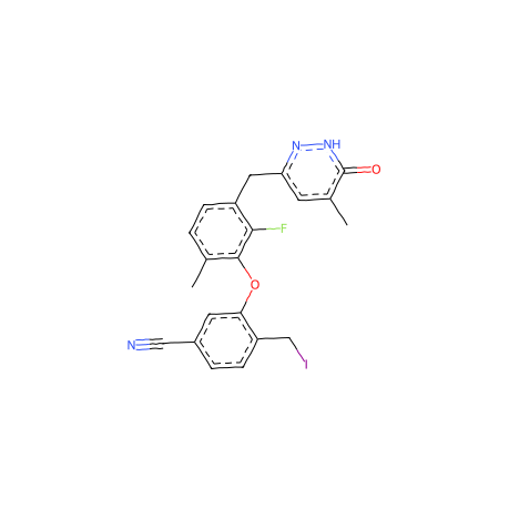 Cc1ccc(Cc2cc(C)c(=O)[nH]n2)c(F)c1Oc1cc(C#N)ccc1CI